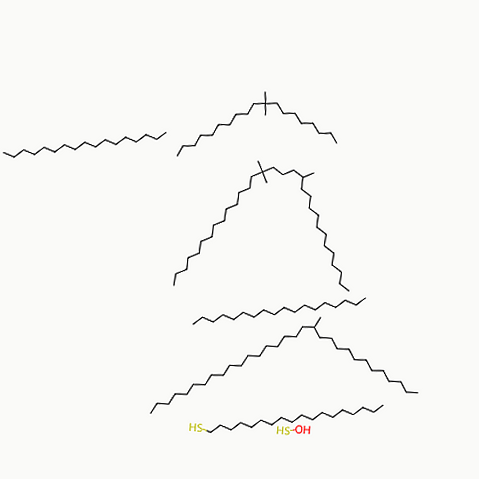 CCCCCCCCCCC(C)(C)CCCCCCCC.CCCCCCCCCCCCCCC(C)(C)CCCC(C)CCCCCCCCCCCC.CCCCCCCCCCCCCCCCC.CCCCCCCCCCCCCCCCCC.CCCCCCCCCCCCCCCCCCC(C)CCCCCCCCCCCC.CCCCCCCCCCCCCCCCCCS.OS